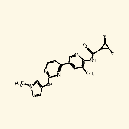 Cc1cc(-c2ccnc(Nc3cnn(C)c3)n2)cnc1NC(=O)C1C(F)C1F